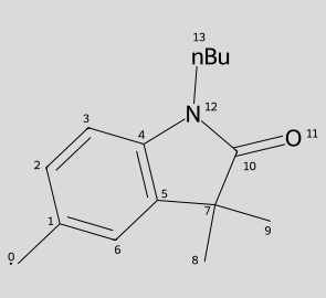 [CH2]c1ccc2c(c1)C(C)(C)C(=O)N2CCCC